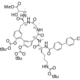 COC(=O)C(O)[C@H](C)NC(=O)[C@@H]1Cc2ccc(OC(=O)OC(C)(C)C)c(c2)-c2cc(ccc2OC(=O)OC(C)(C)C)[C@H](N(C)C(=O)[C@H](CCCCNC(=O)OC(C)(C)C)NC(=O)c2ccc(-c3ccc(Cl)cc3)cc2)C(=O)N[C@@H](C)C(=O)N1